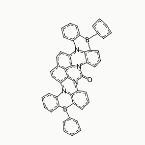 O=c1n2c3cccc4c3n(c3ccc5ccc6c(c5c32)n1c1cccc2c1n6-c1ccccc1B2c1ccccc1)-c1ccccc1B4c1ccccc1